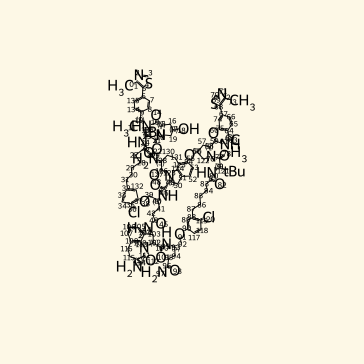 Cc1ncsc1-c1ccc([C@H](C)NC(=O)[C@@H]2C[C@@H](O)CN2C(=O)[C@@H](NC(=O)CCCCCc2ccc(Cl)c(OC[C@H](CCC(N)=O)NC(=O)[C@@H]3Cc4ccc(O[C@@H]5C[C@@H](C(=O)N[C@@H](C)c6ccc(-c7scnc7C)cc6)N(C(=O)[C@@H](NC(=O)CCCCCc6cc(OC[C@H](CCC(N)=O)NC(=O)[C@@H]7Cc8cccc9c8N7C(=O)[C@@H](N)CC9)ccc6Cl)C(C)(C)C)C5)c5c4N3C(=O)[C@@H](N)CC5)c2)C(C)(C)C)cc1